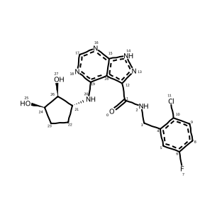 O=C(NCc1cc(F)ccc1Cl)c1n[nH]c2ncnc(N[C@@H]3CC[C@@H](O)[C@H]3O)c12